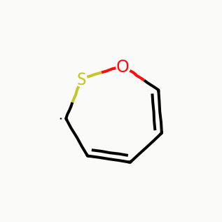 [CH]1C=CC=COS1